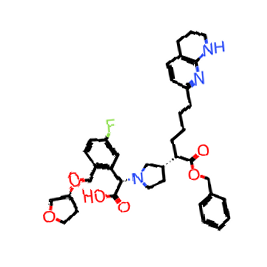 O=C(OCc1ccccc1)C(CCCCc1ccc2c(n1)NCCC2)[C@@H]1CCN([C@H](C(=O)O)c2cc(F)ccc2CO[C@H]2CCOC2)C1